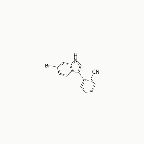 N#Cc1ccccc1-c1c[nH]c2cc(Br)ccc12